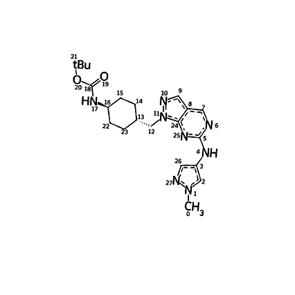 Cn1cc(Nc2ncc3cnn(C[C@H]4CC[C@H](NC(=O)OC(C)(C)C)CC4)c3n2)cn1